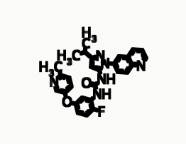 Cc1ccc(Oc2ccc(F)c(NC(=O)Nc3cc(C(C)C)nn3-c3ccc4ncccc4c3)c2)cn1